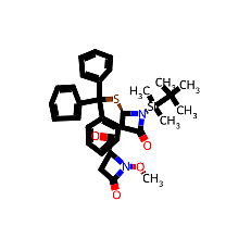 CON1C(=O)C[C@@H]1C(=O)[C@H]1C(=O)N([Si](C)(C)C(C)(C)C)[C@@H]1SC(c1ccccc1)(c1ccccc1)c1ccccc1